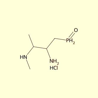 CNC(C)C(N)C[PH2]=O.Cl